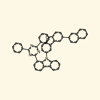 c1ccc(-c2nc(-c3ccccc3)nc(-c3cccc4c5ccccc5n(-c5ccc6oc7ccc(-c8ccc9ccccc9c8)cc7c6c5)c34)n2)cc1